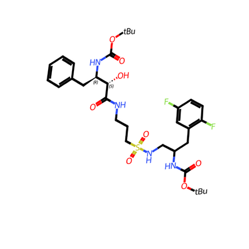 CC(C)(C)OC(=O)NC(CNS(=O)(=O)CCCNC(=O)[C@@H](O)[C@@H](Cc1ccccc1)NC(=O)OC(C)(C)C)Cc1cc(F)ccc1F